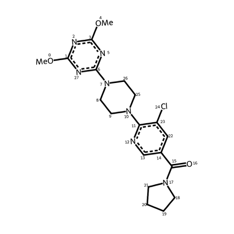 COc1nc(OC)nc(N2CCN(c3ncc(C(=O)N4CCCC4)cc3Cl)CC2)n1